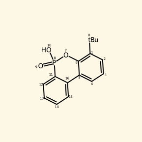 CC(C)(C)c1cccc2c1OP(=O)(O)c1ccccc1-2